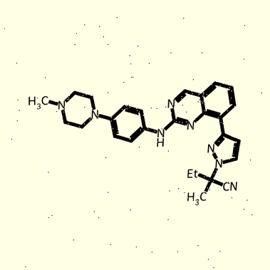 CCC(C)(C#N)n1ccc(-c2cccc3cnc(Nc4ccc(N5CCN(C)CC5)cc4)nc23)n1